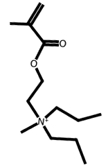 C=C(C)C(=O)OCC[N+](C)(CCC)CCC